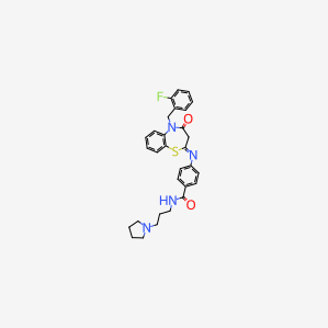 O=C(NCCCN1CCCC1)c1ccc(/N=C2/CC(=O)N(Cc3ccccc3F)c3ccccc3S2)cc1